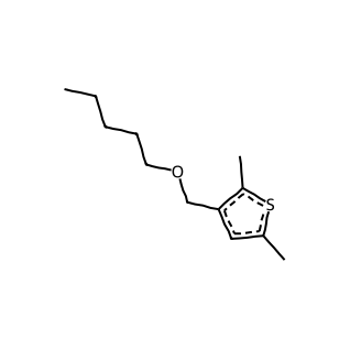 CCCCCOCc1cc(C)sc1C